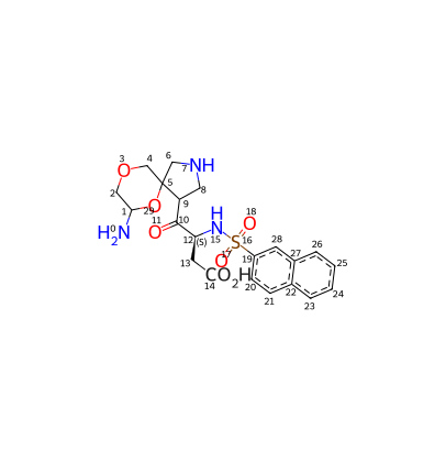 NC1COCC2(CNCC2C(=O)[C@H](CC(=O)O)NS(=O)(=O)c2ccc3ccccc3c2)O1